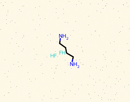 F.F.NCCCCN